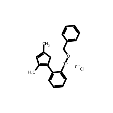 CC1=CC(C)=C(c2cccc[c]2[Ti+2][O]Cc2ccccc2)C1.[Cl-].[Cl-]